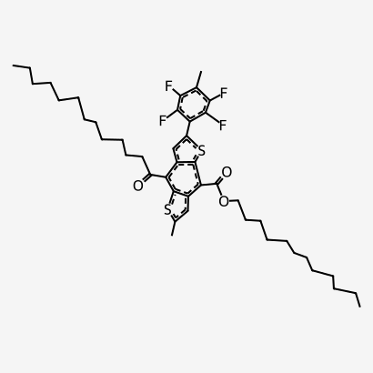 CCCCCCCCCCCCOC(=O)c1c2cc(C)sc2c(C(=O)CCCCCCCCCCCC)c2cc(-c3c(F)c(F)c(C)c(F)c3F)sc12